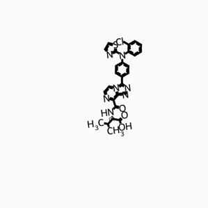 CC(C)[C@H](NC(=O)c1nccn2c(-c3ccc(N(c4nccs4)c4ccccc4Cl)cc3)nnc12)C(=O)O